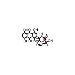 COC1=C(C(=O)O)[C@H](C)[C@@]23O[C@]24c2cc(O)c5c(c2N[C@H]3C#C/C=C/C#C[C@H]14)C(=O)c1c(O)ccc(O)c1C5=O